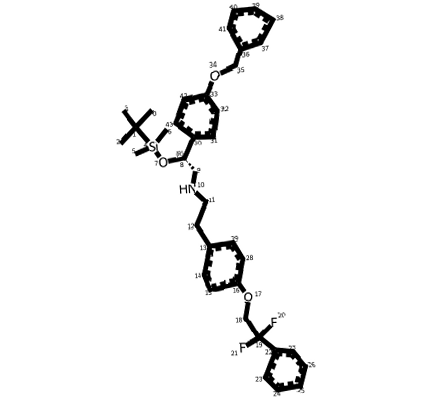 CC(C)(C)[Si](C)(C)O[C@@H](CNCCc1ccc(OCC(F)(F)c2ccccc2)cc1)c1c[c]c(OCc2ccccc2)cc1